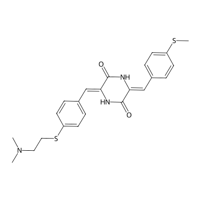 CSc1ccc(C=c2[nH]c(=O)c(=Cc3ccc(SCCN(C)C)cc3)[nH]c2=O)cc1